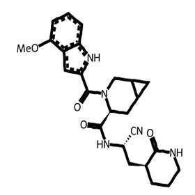 COc1cccc2[nH]c(C(=O)N3CC4CC4C[C@H]3C(=O)N[C@H](C#N)C[C@@H]3CCCNC3=O)cc12